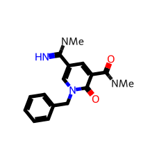 CNC(=N)c1cc(C(=O)NC)c(=O)n(Cc2ccccc2)c1